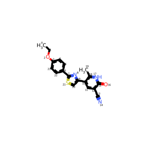 CCOc1ccc(-c2nc(-c3cc(C#N)c(=O)[nH]c3C)cs2)cc1